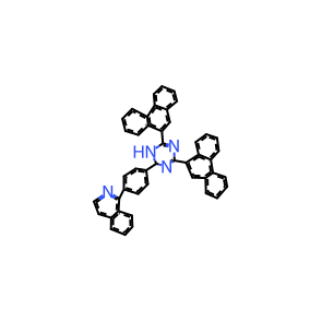 c1ccc2c(-c3ccc(C4N=C(c5cc6ccccc6c6ccccc56)N=C(c5cc6ccccc6c6ccccc56)N4)cc3)nccc2c1